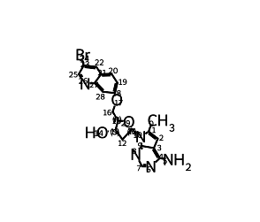 Cc1cc2c(N)ncnc2n1[C@H]1C[C@H](O)[C@@H](COc2ccc3cc(Br)cnc3c2)O1